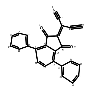 C#CC(C#N)=C1C(=O)c2c(-c3ccccc3)ccc(-c3ccccc3)c2C1=O